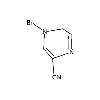 N#CC1=CN(Br)CC=N1